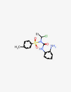 CCC(Cl)N(C(=O)Nc1ccccc1N)S(=O)(=O)c1ccc(C)cc1